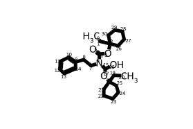 CCC1(OC(=O)N(CCc2ccccc2)C(O)OC2(CC)CCCCC2)CCCCC1